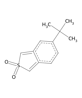 CC(C)(C)c1ccc2c(c1)=CS(=O)(=O)C=2